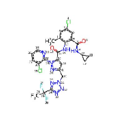 Cc1cc(Cl)cc(C(=O)NC2CC2)c1NC(=O)c1cc(Cn2nnc(C(F)(F)C(F)(F)F)n2)nn1-c1ncccc1Cl